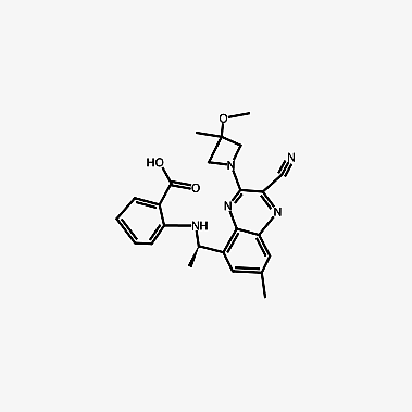 COC1(C)CN(c2nc3c([C@@H](C)Nc4ccccc4C(=O)O)cc(C)cc3nc2C#N)C1